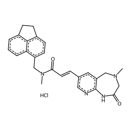 CN1CC(=O)Nc2ncc(C=CC(=O)N(C)Cc3ccc4c5c(cccc35)CC4)cc2C1.Cl